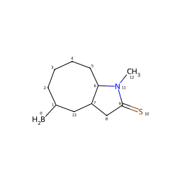 BC1CCCCC2C(CC(=S)N2C)C1